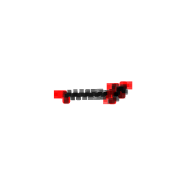 O=C(O)CCCCCCCCCCCCCOO[C@H](CO)[C@H]1OC[C@H](O)[C@H]1O